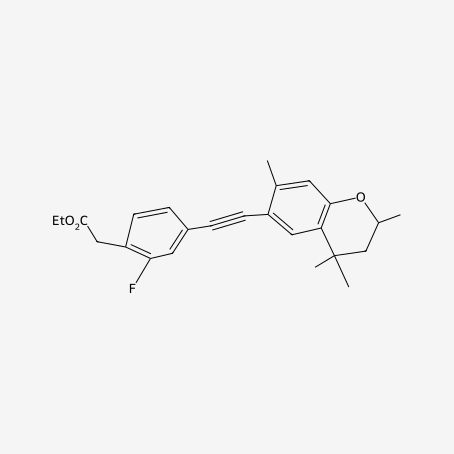 CCOC(=O)Cc1ccc(C#Cc2cc3c(cc2C)OC(C)CC3(C)C)cc1F